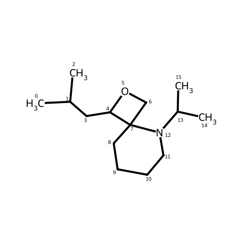 CC(C)CC1OCC12CCCCN2C(C)C